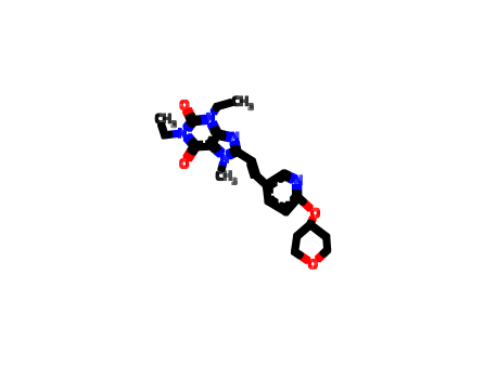 CCn1c(=O)c2c(nc(C=Cc3ccc(OC4CCOCC4)nc3)n2C)n(CC)c1=O